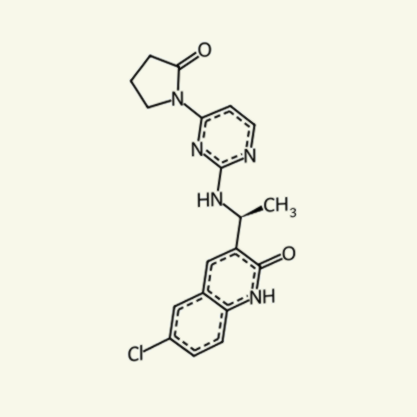 C[C@H](Nc1nccc(N2CCCC2=O)n1)c1cc2cc(Cl)ccc2[nH]c1=O